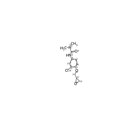 CN(C)C(=O)Nc1ccc(OCC2CO2)c(Cl)c1